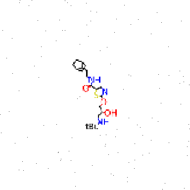 CC(C)(C)NCC(O)COc1ncc(C(=O)NCCC2C3CCC2CC3)s1